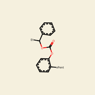 CCCCCc1ccccc1OC(=O)OC(CC)c1ccccc1